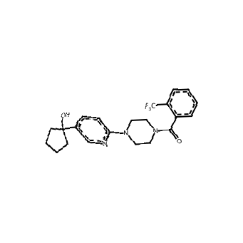 O=C(c1ccccc1C(F)(F)F)N1CCN(c2ccc(C3(O)CCCC3)cn2)CC1